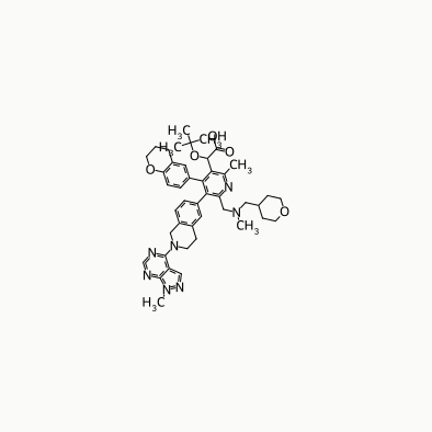 Cc1nc(CN(C)CC2CCOCC2)c(-c2ccc3c(c2)CCN(c2ncnc4c2cnn4C)C3)c(-c2ccc3c(c2)CCCO3)c1C(OC(C)(C)C)C(=O)O